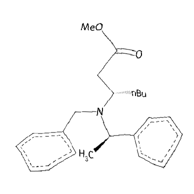 CCCC[C@@H](CC(=O)OC)N(Cc1ccccc1)[C@H](C)c1ccccc1